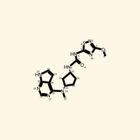 COc1nsc(NC(=O)N[C@@H]2CC[C@H](N(C)c3ncnc4[nH]ccc34)C2)n1